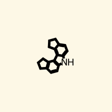 c1cc2[nH]c3ccc4c(c3c2c2c1CCC2)CCC4